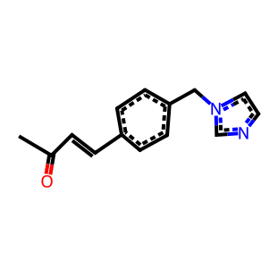 CC(=O)/C=C/c1ccc(Cn2ccnc2)cc1